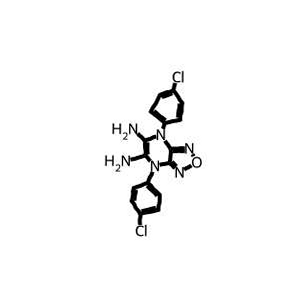 NC1=C(N)N(c2ccc(Cl)cc2)c2nonc2N1c1ccc(Cl)cc1